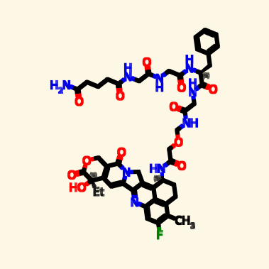 CC[C@@]1(O)C(=O)OCc2c1cc1n(c2=O)Cc2c-1nc1cc(F)c(C)c3c1c2[C@@H](NC(=O)COCNC(=O)CNC(=O)[C@H](Cc1ccccc1)NC(=O)CNC(=O)CNC(=O)CCCC(N)=O)CC3